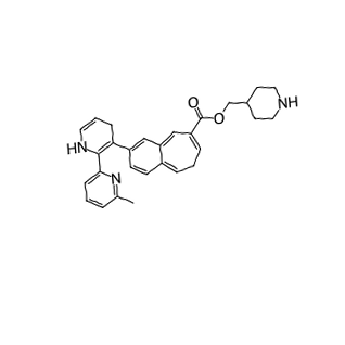 Cc1cccc(C2=C(c3ccc4c(c3)=CC(C(=O)OCC3CCNCC3)=CCC=4)CC=CN2)n1